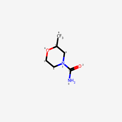 NC(=O)N1CCOC(C(F)(F)F)C1